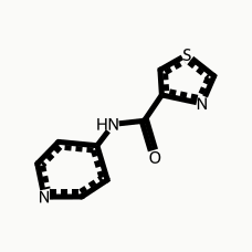 O=C(Nc1ccncc1)c1cscn1